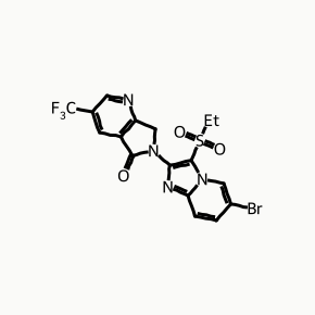 CCS(=O)(=O)c1c(N2Cc3ncc(C(F)(F)F)cc3C2=O)nc2ccc(Br)cn12